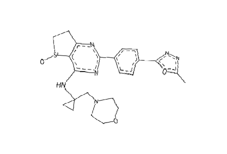 Cc1nnc(-c2ccc(-c3nc4c(c(NC5(CN6CCOCC6)CC5)n3)[S+]([O-])CC4)cc2)o1